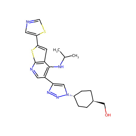 CC(C)Nc1c(-c2cn([C@H]3CC[C@H](CO)CC3)nn2)cnc2sc(-c3cncs3)cc12